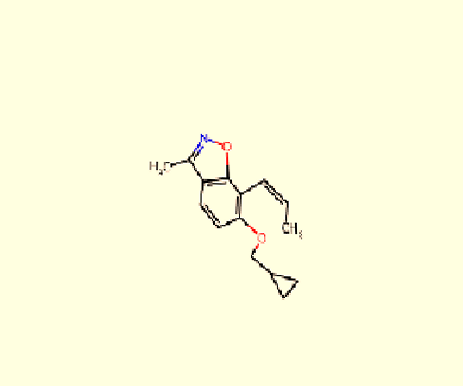 C/C=C\c1c(OCC2CC2)ccc2c(C)noc12